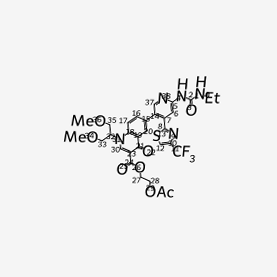 CCNC(=O)Nc1cc(-c2nc(C(F)(F)F)cs2)c(-c2ccc3c(c2)c(=O)c(C(=O)OCCOC(C)=O)cn3C(COC)COC)cn1